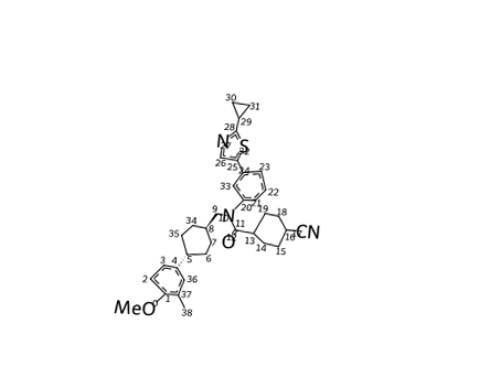 COc1ccc([C@H]2CC[C@H](CN(C(=O)C3CCC(C#N)CC3)c3cccc(-c4cnc(C5CC5)s4)c3)CC2)cc1C